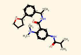 CC(C)C(=O)Nc1ccc(N(C)C)c(C(=O)NC(C)c2cccc(C3CCCO3)c2)c1